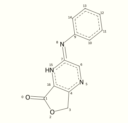 O=C1OCc2ncc(=Nc3ccccc3)[nH]c21